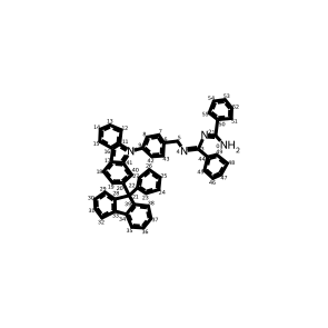 N/C(=N\C(=N/Cc1ccc(-n2c3ccccc3c3ccc(C4(c5ccccc5)c5ccccc5-c5ccccc54)cc32)cc1)c1ccccc1)c1ccccc1